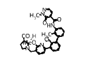 COc1nc(-c2cccc(-c3cccc(NC(=O)c4ccnn(C)c4=O)c3C)c2Cl)ccc1CN1CC[C@@H](C(=O)O)C1